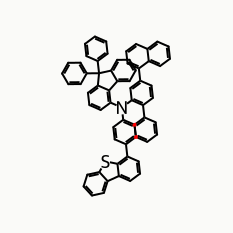 c1ccc(-c2ccc(-c3cccc4ccccc34)cc2N(c2ccc(-c3cccc4c3sc3ccccc34)cc2)c2cccc3c2-c2ccccc2C3(c2ccccc2)c2ccccc2)cc1